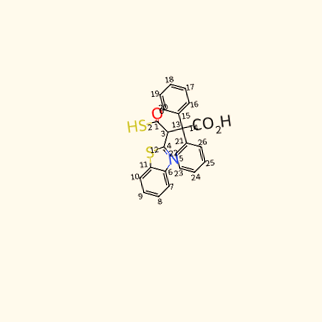 O=C(S)C(c1nc2ccccc2s1)C(C(=O)O)(c1ccccc1)c1ccccc1